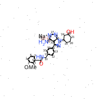 COc1ccccc1C(=O)NCc1ccc(-c2nn(C3CCCC(O)C3)c3ncnc(N)c23)cc1.[BH4-].[Na+]